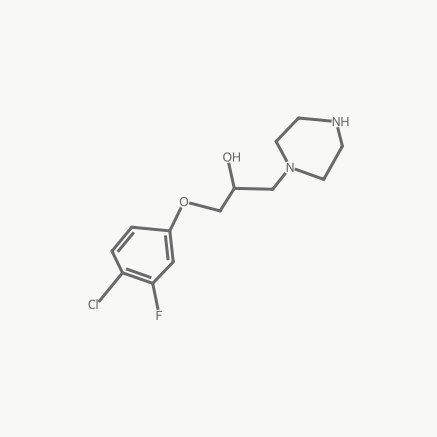 OC(COc1ccc(Cl)c(F)c1)CN1CCNCC1